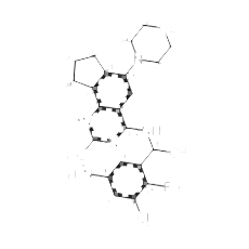 Cc1nc(NC(C)c2cc(N)cc(C)c2F)c2cc(N3CCOCC3)c3c(c2n1)CCC3